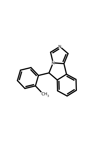 Cc1ccccc1C1c2ccccc2-c2cncn21